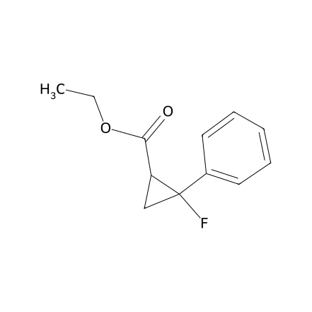 CCOC(=O)C1CC1(F)c1ccccc1